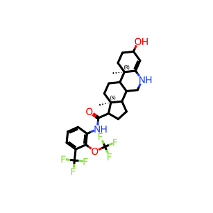 C[C@]12CCC3C(CNC4=CC(O)CC[C@@]43C)C1CCC2C(=O)Nc1cccc(C(F)(F)F)c1OC(F)(F)F